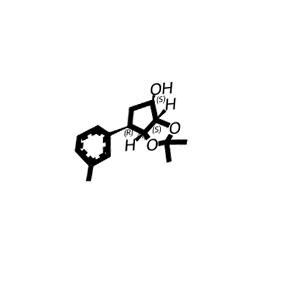 Cc1cccc([C@H]2C[C@H](O)[C@@H]3OC(C)(C)O[C@@H]32)c1